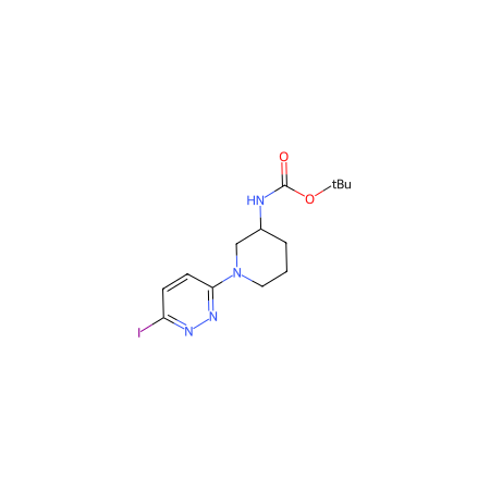 CC(C)(C)OC(=O)NC1CCCN(c2ccc(I)nn2)C1